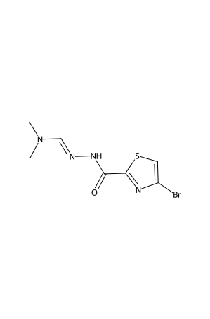 CN(C)/C=N/NC(=O)c1nc(Br)cs1